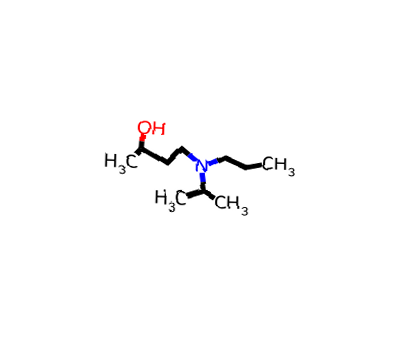 CCCN(CCC(C)O)C(C)C